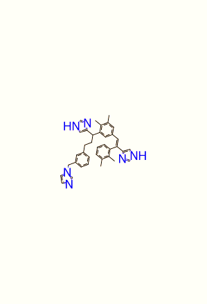 Cc1cccc(/C(=C\c2cc(C)c(C)c(C(CCc3cccc(Cn4ccnc4)c3)c3c[nH]cn3)c2)c2c[nH]cn2)c1C